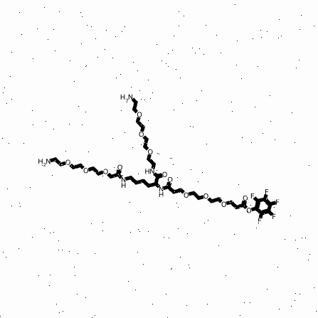 NCCOCCOCCOCCNC(=O)C(CCCCNC(=O)COCCOCCOCCN)NC(=O)CCOCCOCCOCCC(=O)Oc1c(F)c(F)c(F)c(F)c1F